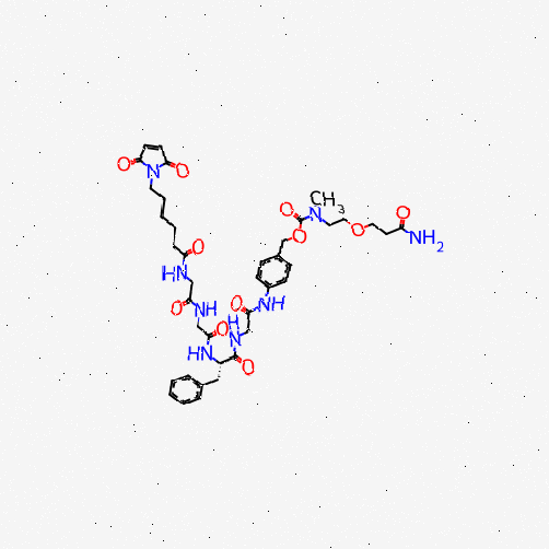 CN(CCOCCC(N)=O)C(=O)OCc1ccc(NC(=O)CNC(=O)[C@H](Cc2ccccc2)NC(=O)CNC(=O)CNC(=O)CCCCCN2C(=O)C=CC2=O)cc1